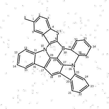 Cc1ccc2sc3c(c2c1)-n1c2ccccc2c2cc4c5ccccc5n5c4c(c21)B3c1ccccc1-5